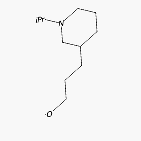 CC(C)N1CCCC(CCC[O])C1